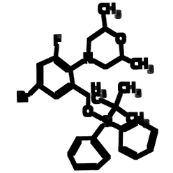 CC1CN(c2c(F)cc(Br)cc2CO[Si](c2ccccc2)(c2ccccc2)C(C)(C)C)CC(C)O1